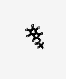 O=C1c2c(Cl)c(Cl)c(Cl)c(Cl)c2C(=O)N1OS(=O)C(F)(F)F